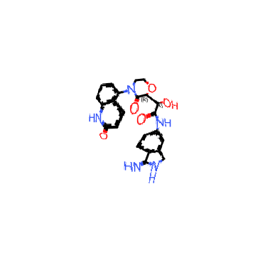 N=C1NCc2cc(NC(=O)[C@H](O)[C@H]3OCCN(c4cccc5[nH]c(=O)ccc45)C3=O)ccc21